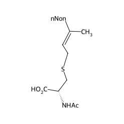 CCCCCCCCC/C(C)=C/CSC[C@H](NC(C)=O)C(=O)O